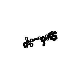 CCc1cc(OCCCON2C(=O)c3ccccc3C2=O)cc(OS(=O)(=O)c2ccccc2S(C)(=O)=O)c1